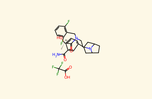 C[C@H](O)C(=O)N(CCN1C2CCC1CC(c1cccc(C(N)=O)c1)C2)Cc1c(F)cccc1F.O=C(O)C(F)(F)F